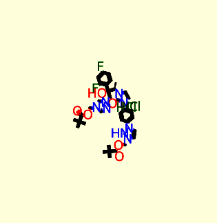 C[C@@H](N1CCN(c2ccc(N3C=CN(COC(=O)C(C)(C)C)N3)cc2)C1=O)[C@](O)(CN1CN(COC(=O)C(C)(C)C)C=N1)c1ccc(F)cc1F.Cl.Cl